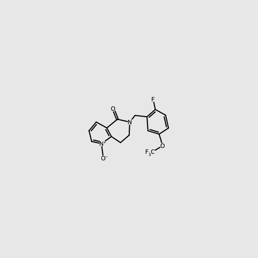 O=C1c2ccc[n+]([O-])c2CCN1Cc1cc(OC(F)(F)F)ccc1F